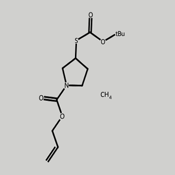 C.C=CCOC(=O)N1CCC(SC(=O)OC(C)(C)C)C1